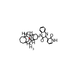 C[C@@H]1C[C@H](C)[C@H]2C[C@@H](n3c(=O)c(-c4ccc[nH]c4=O)nc4ccccc43)C[C@@H]1N2[C@@H]1C[C@@H]2CCCC[C@@H](C2)C1